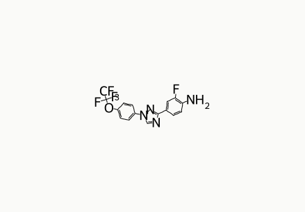 Nc1ccc(-c2ncn(-c3ccc(OC(F)(F)C(F)(F)F)cc3)n2)cc1F